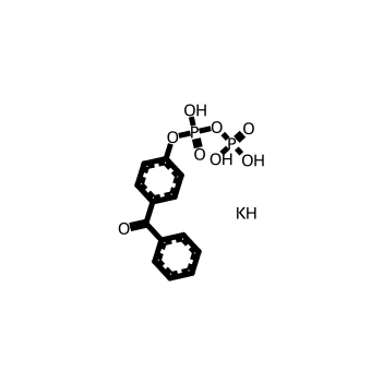 O=C(c1ccccc1)c1ccc(OP(=O)(O)OP(=O)(O)O)cc1.[KH]